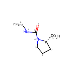 CCCCCNC(=O)N1CCC[C@H]1C(=O)O